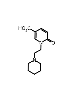 O=C(O)c1ccc(=O)n(CCN2CCCCC2)c1